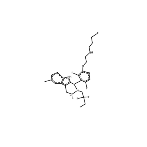 CCC(F)(F)CN1C(c2c(F)cnc(OCCNCCCF)c2F)c2[nH]c3ccc(C)cc3c2C[C@H]1C